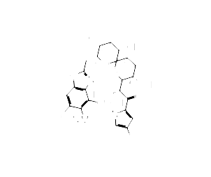 CNc1c(Br)cc2oc(C[C@H]3OC4(CC[C@H]3C)OC([C@H](C)C(=O)c3cc(Br)c[nH]3)[C@H](C)C[C@H]4C)nc2c1C(=O)O